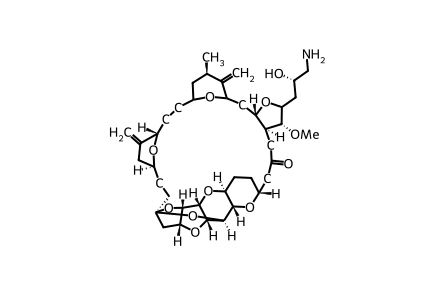 C=C1C2C[C@@H]3OC(C[C@H](O)CN)[C@H](OC)[C@H]3CC(=O)C[C@H]3CC[C@@H]4O[C@@H]5[C@H]6O[C@@H]7C[C@](CC[C@H]8CC(=C)[C@H](CCC(C[C@H]1C)O2)O8)(O[C@H]6[C@H]4O3)O[C@H]57